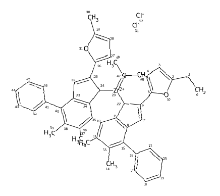 CCc1ccc(C2=Cc3c(cc(C)c(C)c3-c3ccccc3)[CH]2[Zr+2]([CH]2C(c3ccc(C)o3)=Cc3c2cc(C)c(C)c3-c2ccccc2)=[Si](C)C)o1.[Cl-].[Cl-]